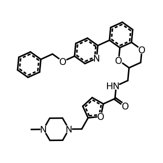 CN1CCN(Cc2ccc(C(=O)NCC3COc4cccc(-c5ccc(OCc6ccccc6)cn5)c4O3)o2)CC1